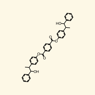 CC(c1ccc(OC(=O)c2ccc(C(=O)Oc3ccc(C(C)C(O)c4ccccc4)cc3)cc2)cc1)C(O)c1ccccc1